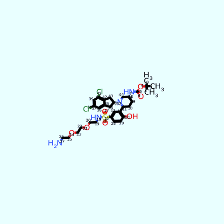 CC(C)(C)OC(=O)N[C@@H]1CCC(c2cc(S(=O)(=O)NCCOCCOCCN)ccc2O)N([C@@H]2Cc3cc(Cl)cc(Cl)c3C2)C1